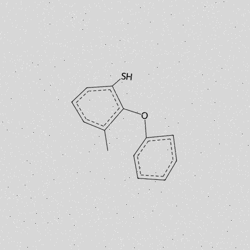 Cc1cccc(S)c1Oc1ccccc1